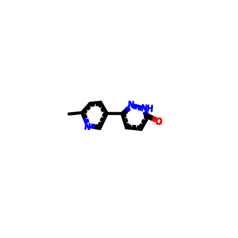 Cc1ccc(-c2ccc(=O)[nH]n2)cn1